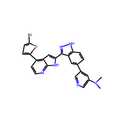 CC(=O)c1ccc(-c2ccnc3[nH]c(-c4n[nH]c5ccc(-c6cncc(N(C)C)c6)cc45)cc23)s1